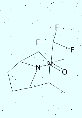 CC1C2CCC(CN1C)N2C(=O)C(F)(F)F